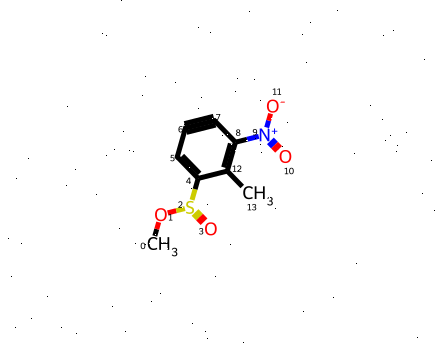 COS(=O)c1cc#cc([N+](=O)[O-])c1C